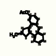 CC(=O)Oc1ccc2c(c1)C1=C(CN(C)C1)c1ccccc1S2